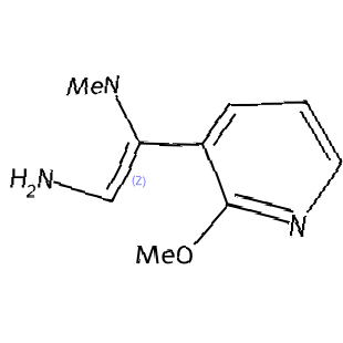 CN/C(=C\N)c1cccnc1OC